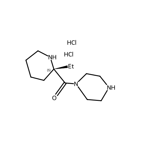 CC[C@@]1(C(=O)N2CCNCC2)CCCCN1.Cl.Cl